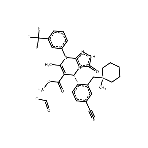 COC(=O)C1=C(C)N(c2cccc(C(F)(F)F)c2)c2n[nH]c(=O)n2[C@@H]1c1ccc(C#N)cc1C[N+]1(C)CCCCC1.O=C[O-]